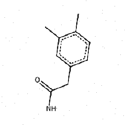 Cc1ccc(CC([NH])=O)cc1C